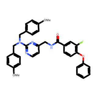 COc1ccc(CN(Cc2ccc(OC)cc2)c2nccc(CNC(=O)c3ccc(Oc4ccccc4)c(F)c3)n2)cc1